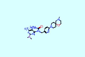 CN1CCOC2(CCN(c3ccc(Cn4c(=O)[nH]c5c(N)nc(P(C)C)nc54)cn3)CC2)C1